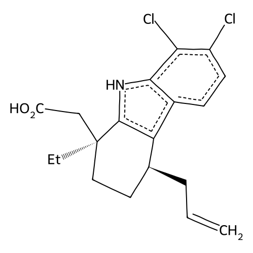 C=CC[C@H]1CC[C@@](CC)(CC(=O)O)c2[nH]c3c(Cl)c(Cl)ccc3c21